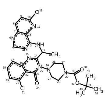 CC(Nc1ncnc2ccc(Cl)nc12)c1nc2cccc(Cl)c2c(=O)n1N1CCN(C(=O)OC(C)(C)C)CC1